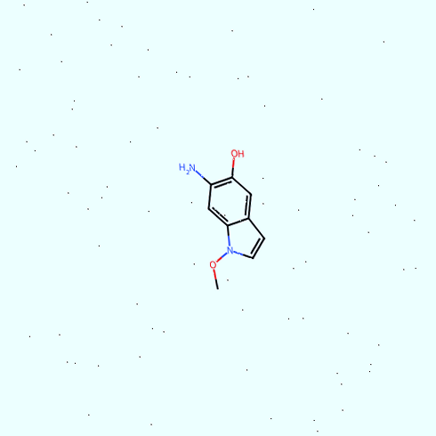 COn1ccc2cc(O)c(N)cc21